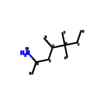 CCC(C)(C)C(C)CC(C)N